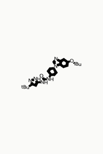 CCC(C)Oc1ccc2c(c1)ncn2-c1ccc(NC(=O)Nc2cc(C(C)(C)C)n[nH]2)cc1